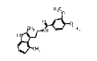 COc1ccc(C(=O)NCCc2c(C)[nH]c3cccc(C)c23)cc1OC